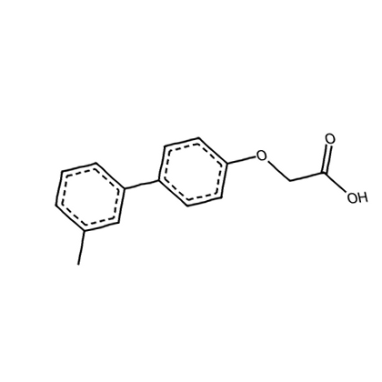 Cc1cccc(-c2ccc(OCC(=O)O)cc2)c1